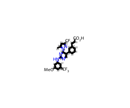 COc1cc(Nc2ncc(-c3cccc(C=CC(=O)O)c3)c(-n3nc(C(F)(F)F)cc3C)n2)cc(C(F)(F)F)c1